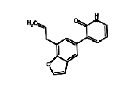 C=CCc1cc(-c2ccc[nH]c2=O)cc2ccoc12